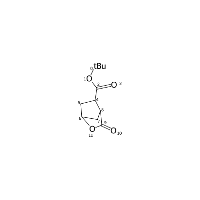 CC(C)(C)OC(=O)C1CC2CC1C(=O)O2